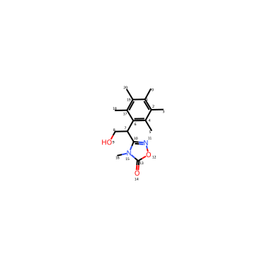 Cc1c(C)c(C)c(C(CO)c2noc(=O)n2C)c(C)c1C